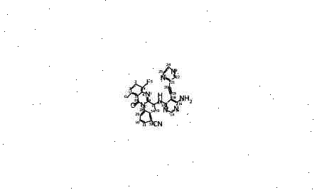 Cc1ccc(F)c2nc(C(C)Nc3ncnc(N)c3C#Cc3cnccn3)n(-c3cccc(C#N)c3)c(=O)c12